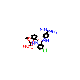 CCOc1cccc(CNc2ccc(Cl)cc2C(=O)Nc2ccc(C(=N)N)cc2)c1OC(C)C(=O)O